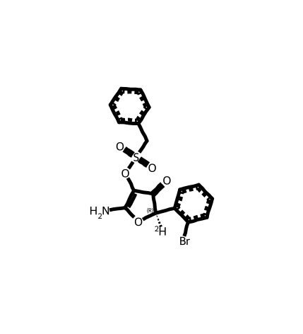 [2H][C@]1(c2ccccc2Br)OC(N)=C(OS(=O)(=O)Cc2ccccc2)C1=O